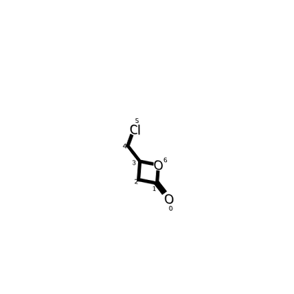 O=C1CC(CCl)O1